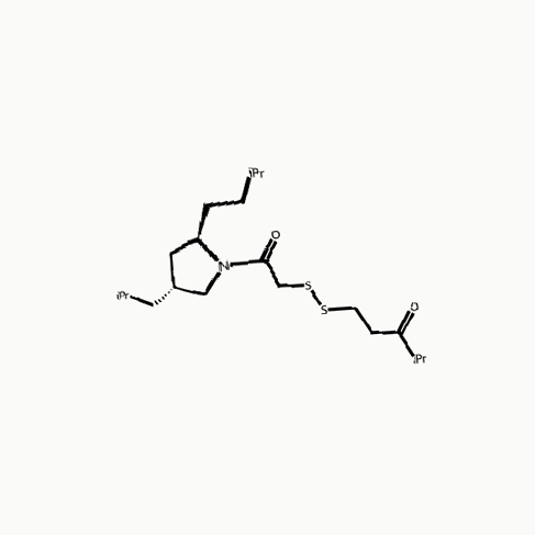 CC(C)CC[C@@H]1C[C@@H](CC(C)C)CN1C(=O)CSSCCC(=O)C(C)C